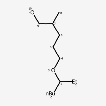 CCCCC(CC)OCCCC(C)C[O]